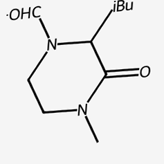 CCC(C)C1C(=O)N(C)CCN1[C]=O